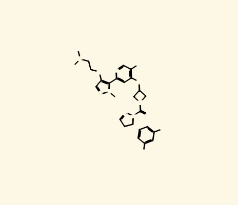 CN(C)CCOc1cnn(C)c1-c1cc(OC2CN(C(=O)N3N=CC[C@H]3c3cc(F)cc(F)c3)C2)c(F)cn1